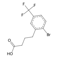 O=C(O)CCCc1cc(C(F)(F)F)ccc1Br